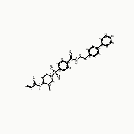 C=CC(=O)NC1CCN(S(=O)(=O)c2ccc(C(=O)NCCc3ccc(-c4ccccc4)cc3)cc2)CC1C